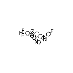 O=C(c1ccccn1)[C@]12Cc3cnn(-c4ccc(F)cc4)c3C=C1CC[C@@H](S(=O)(=O)c1ccc(C(F)(F)F)cc1)C2